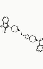 O=C(c1cnccn1)N1CCC2(CC1)CC(CCN1CCC(n3c(=O)[nH]c4ccccc43)CC1)C2